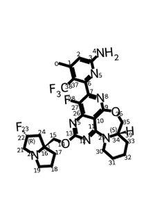 Cc1cc(N)nc(-c2nc3c4c(nc(OC[C@@]56CCCN5C[C@H](F)C6)nc4c2F)N2CCCC[C@H]2CO3)c1C(F)(F)F